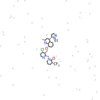 CCn1nccc1-c1cc(C)nc2c(OCc3c(Cl)ccnc3Cn3cccc(C(F)(F)F)c3=O)cccc12